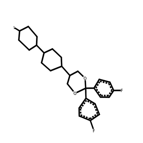 Fc1ccc(C2(c3ccc(F)cc3)OCC(C3CCC(C4CCC(I)CC4)CC3)CO2)cc1